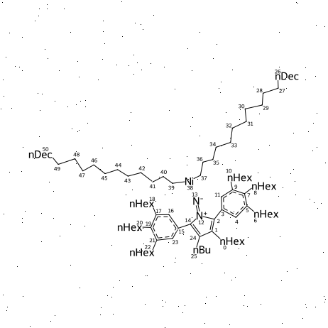 CCCCCCC1=C(c2cc(CCCCCC)c(CCCCCC)c(CCCCCC)c2)[N+](=[N-])C(c2cc(CCCCCC)c(CCCCCC)c(CCCCCC)c2)=C1CCCC.CCCCCCCCCCCCCCCCCCCC[CH2][Ni][CH2]CCCCCCCCCCCCCCCCCCCC